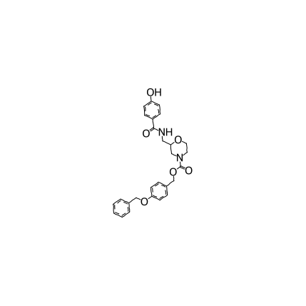 O=C(NCC1CN(C(=O)OCc2ccc(OCc3ccccc3)cc2)CCO1)c1ccc(O)cc1